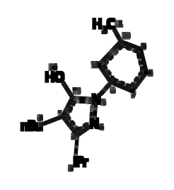 CCCCc1c(C(C)C)nn(-c2cccc(C)c2)c1O